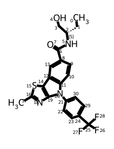 CC[C@@H](CO)NC(=O)c1ccc2c(c1)c1sc(C)nc1n2-c1ccc(C(F)(F)F)cc1